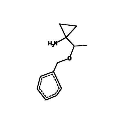 CC(OCc1ccccc1)C1(N)CC1